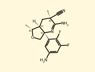 C[C@H]1OC[C@]2(c3cc(N)cc(F)c3F)N=C(N)[C@](C)(C#N)C[C@H]12